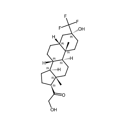 C[C@]12CC[C@](O)(C(F)(F)F)C[C@H]1CC[C@@H]1[C@@H]2CC[C@]2(C)[C@@H](C(=O)CO)CC[C@@H]12